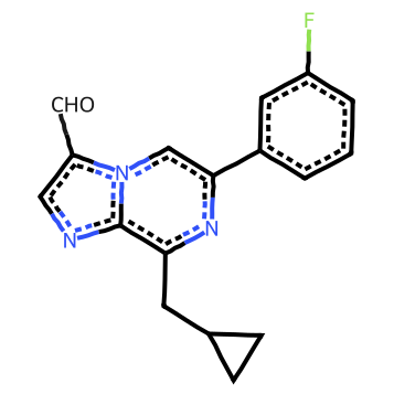 O=Cc1cnc2c(CC3CC3)nc(-c3cccc(F)c3)cn12